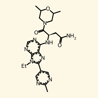 CCn1c(-c2cnc(C)nc2)nc2c(N[C@H](CC(N)=O)C(=O)N3CC(C)OC(C)C3)ncnc21